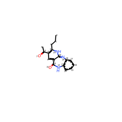 CCCC1=C(C(C)=O)C=C2C(=O)Nc3ccccc3N=C2N1